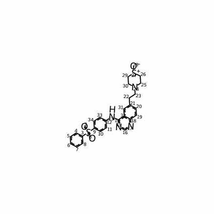 O=S(=O)(c1ccccc1)c1ccc(Nc2ncnc3ccc(CCN4CC[S+]([O-])CC4)cc23)cc1